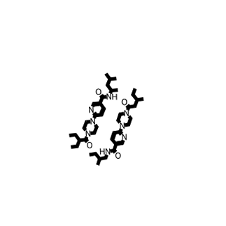 CCC(C)CNC(=O)c1ccc(N2CCN(C(=O)CC(C)CC)CC2)nc1.CCC(CC)C(=O)N1CCN(c2ccc(C(=O)NC(C)CC(C)C)cn2)CC1